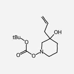 C=CCC1(O)CCCN(OC(=O)OC(C)(C)C)C1